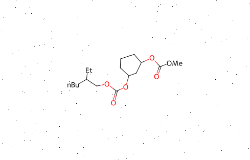 CCCCC(CC)COC(=O)OC1CCCC(OC(=O)OC)C1